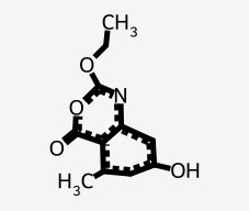 CCOc1nc2cc(O)cc(C)c2c(=O)o1